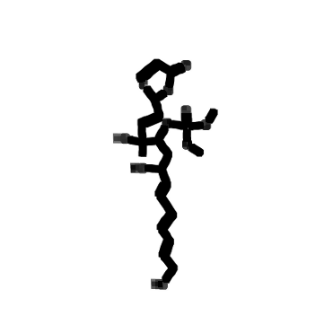 COP(=O)(OC)OC(CC(O)C=CC=CC=CCO)C(C)(O)C=CC1CC=CC(=O)O1